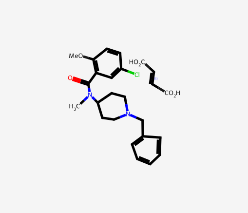 COc1ccc(Cl)cc1C(=O)N(C)C1CCN(Cc2ccccc2)CC1.O=C(O)/C=C/C(=O)O